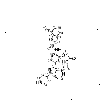 CC(=O)O.COc1cc(-c2nn(C3CCNCC3)c3ncnc(N)c23)ccc1NC(=O)c1cc2cccc(OC)c2o1